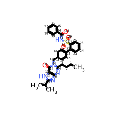 CCCCc1nc2nc(C(C)C)[nH]c2c(=O)n1Cc1ccc(-c2ccccc2S(=O)(=O)NC(=O)c2ccccc2)cc1